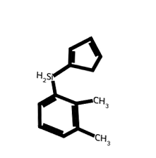 Cc1cccc([SiH2]C2=CC=CC2)c1C